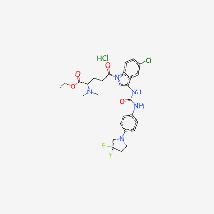 CCOC(=O)C(CCC(=O)n1cc(NC(=O)Nc2ccc(N3CCC(F)(F)C3)cc2)c2cc(Cl)ccc21)N(C)C.Cl